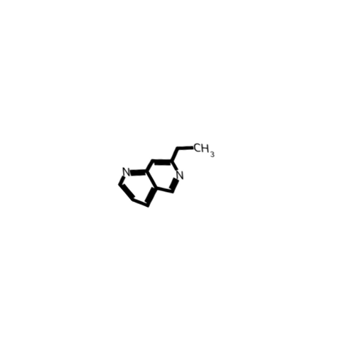 CCc1cc2ncccc2cn1